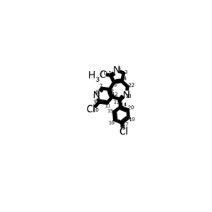 CC1=NCC2=C1c1cnc(Cl)cc1C(c1ccc(Cl)cc1)=NC2